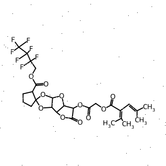 CC(C)=CC(C(=O)OCC(=O)OC1C(=O)OC2C3OC4(CCCC4C(=O)OCC(F)(F)C(F)(F)C(F)(F)F)OC3OC12)=C(C)C